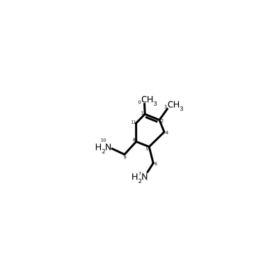 CC1=C(C)CC(CN)C(CN)C1